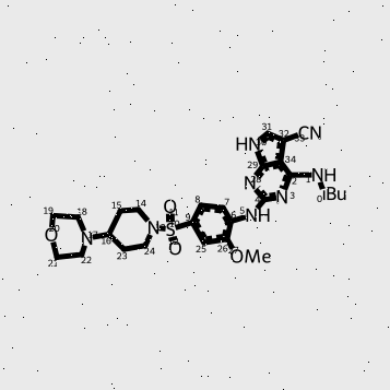 CCC(C)Nc1nc(Nc2ccc(S(=O)(=O)N3CCC(N4CCOCC4)CC3)cc2OC)nc2[nH]cc(C#N)c12